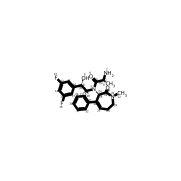 C[C@H](N)C(=O)N(C(=O)[C@@H](O)c1cc(F)cc(F)c1)[C@@H]1C(=O)N(C)CCC=C1c1ccccc1